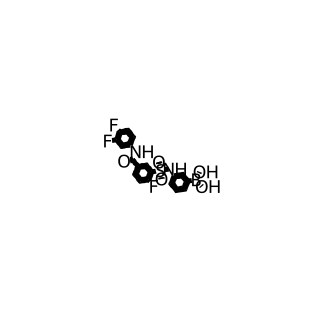 O=C(Nc1ccc(F)c(F)c1)c1ccc(F)c(S(=O)(=O)Nc2cccc(B(O)O)c2)c1